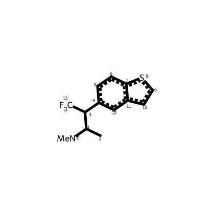 CNC(C)C(c1ccc2sccc2c1)C(F)(F)F